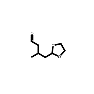 CC(CC=O)CC1OCCO1